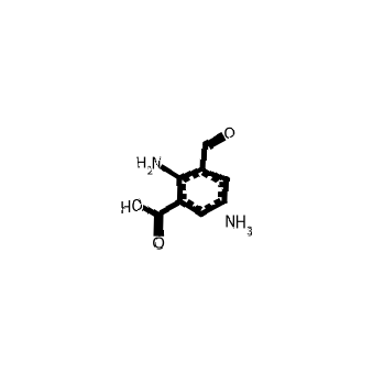 N.Nc1c(C=O)cccc1C(=O)O